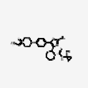 CN=S1(=O)CCN(c2ccc(-c3oc(C(C)(C)C)nc3[C@@H]3CCCC[C@H]3C(=O)NC3(C#N)CC3)cc2)CC1